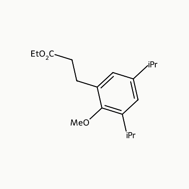 CCOC(=O)CCc1cc(C(C)C)cc(C(C)C)c1OC